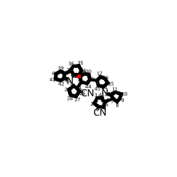 N#Cc1ccc2c(c1)c1ccccc1n2-c1cccc(-c2cccc(-c3c(C#N)cccc3-n3c4ccccc4c4ccccc43)c2)c1